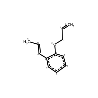 C=CCOc1ccccc1C=CC